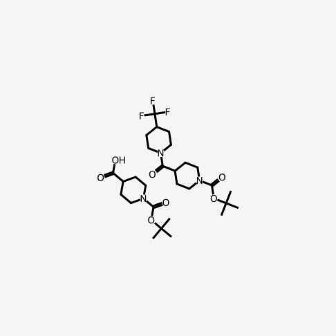 CC(C)(C)OC(=O)N1CCC(C(=O)N2CCC(C(F)(F)F)CC2)CC1.CC(C)(C)OC(=O)N1CCC(C(=O)O)CC1